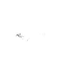 CCCCCCCCCCC#CC(C)OCc1ccc(CO[Si](C)(C)C(C)(C)C)cc1